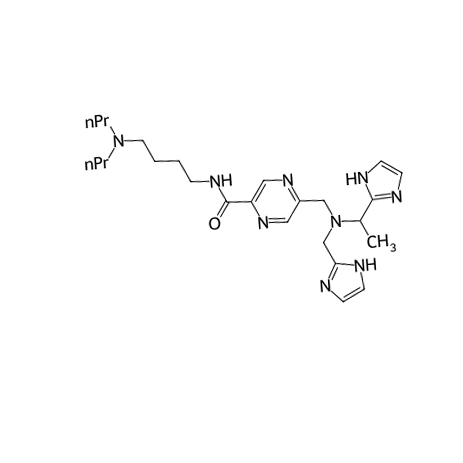 CCCN(CCC)CCCCNC(=O)c1cnc(CN(Cc2ncc[nH]2)C(C)c2ncc[nH]2)cn1